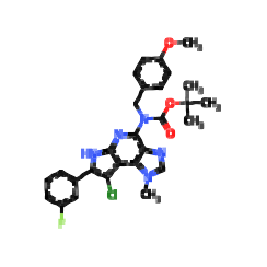 COc1ccc(CN(C(=O)OC(C)(C)C)c2nc3[nH]c(-c4cccc(F)c4)c(Cl)c3c3c2ncn3C)cc1